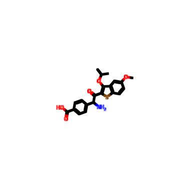 COc1ccc2sc(C(=O)C(N)c3ccc(C(=O)O)cc3)c(OC(C)C)c2c1